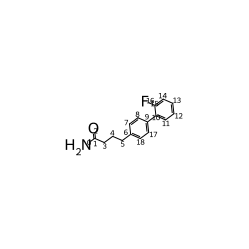 NC(=O)CCCc1ccc(-c2ccccc2F)cc1